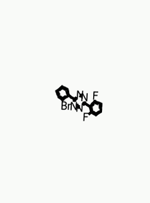 Fc1cccc(F)c1-c1nnc(-c2ccccc2Br)nn1